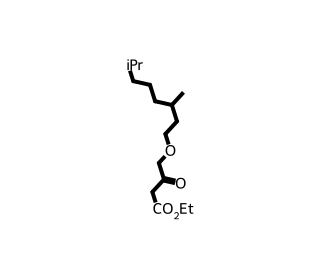 CCOC(=O)CC(=O)COCCC(C)CCCC(C)C